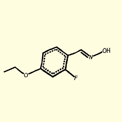 CCOc1ccc(/C=N/O)c(F)c1